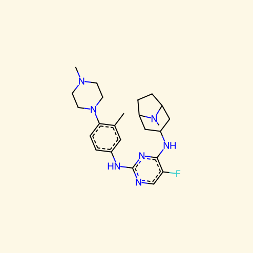 Cc1cc(Nc2ncc(F)c(NC3CC4CCC(C3)N4C)n2)ccc1N1CCN(C)CC1